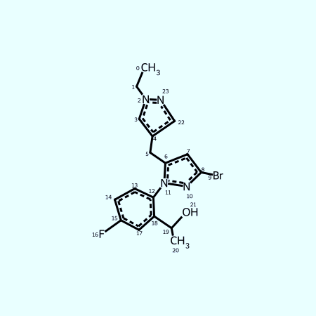 CCn1cc(Cc2cc(Br)nn2-c2ccc(F)cc2C(C)O)cn1